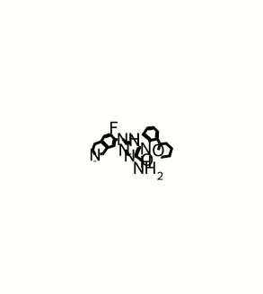 CN1CCc2cc(F)c(Nc3nnc(C(N)=O)c(Nc4ccccc4C4CCCCO4)n3)cc2C1